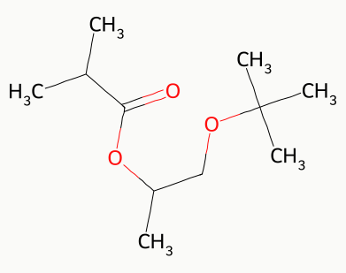 CC(COC(C)(C)C)OC(=O)C(C)C